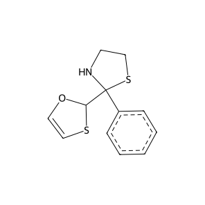 C1=CSC(C2(c3ccccc3)NCCS2)O1